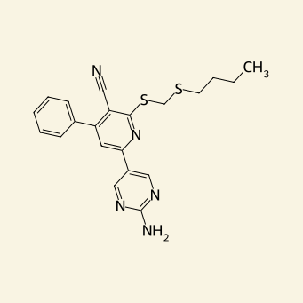 CCCCSCSc1nc(-c2cnc(N)nc2)cc(-c2ccccc2)c1C#N